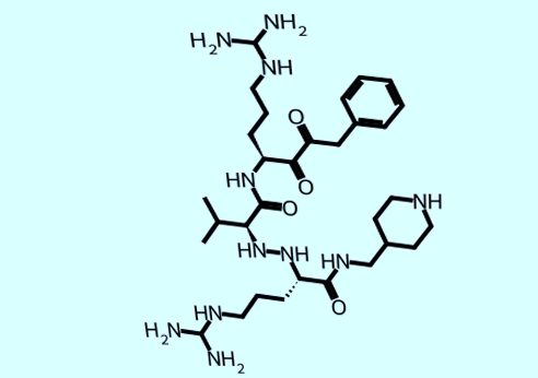 CC(C)[C@H](NN[C@@H](CCCNC(N)N)C(=O)NCC1CCNCC1)C(=O)N[C@@H](CCCNC(N)N)C(=O)C(=O)Cc1ccccc1